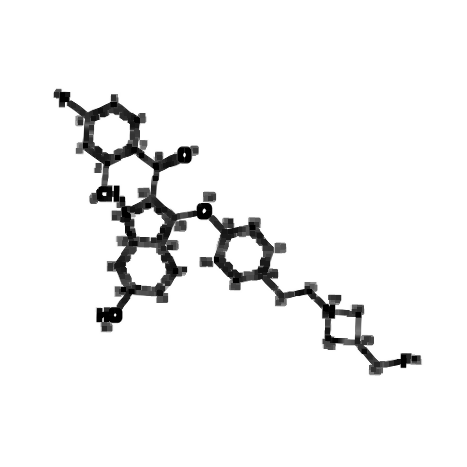 Cc1cc(F)ccc1C(=O)c1sc2cc(O)ccc2c1Oc1ccc(CCN2CC(CF)C2)cc1